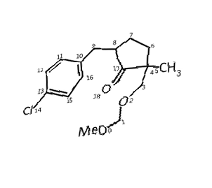 COCOCC1(C)CCC(Cc2ccc(Cl)cc2)C1=O